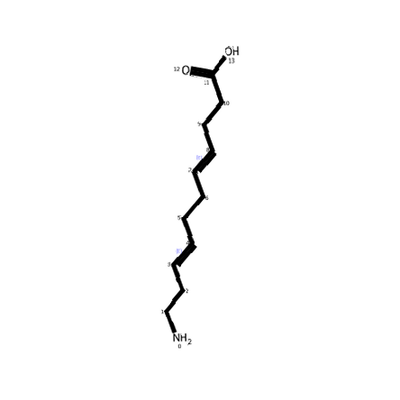 NCC/C=C/CC/C=C/CCC(=O)O